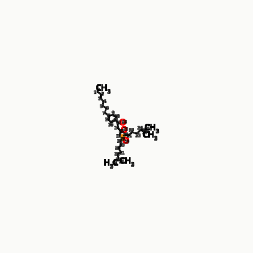 CCCCCCCCc1ccc(C(=O)CC(=O)CP(=O)(CCCCCC(C)C)CCCCCC(C)C)cc1